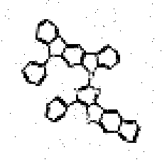 c1ccc(-c2nc(-n3c4ccccc4c4cc5c6ccccc6n(-c6ccccc6)c5cc43)nc3c2sc2cc4ccccc4cc23)cc1